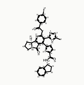 Cc1nnc(-c2c(CC(=O)c3ccc(F)cc3)nc3c(c2-c2ccc(C(=O)N[C@@H]4CCc5ccccc54)s2)C(=O)N2CCC[C@@H]32)o1